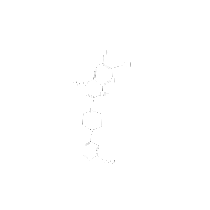 COc1cccc(N2CCN(C(=O)Nc3nc(C)c(C)nc3OC)CC2)c1